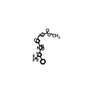 CCOC(=O)C1CN(Cc2cc(-c3noc(-c4cc(-c5ccccc5)c(C(F)(F)F)s4)n3)co2)C1